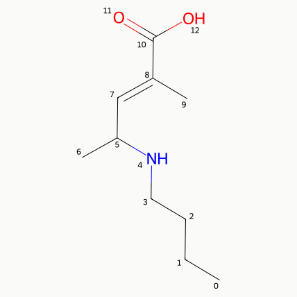 CCCCNC(C)/C=C(\C)C(=O)O